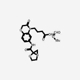 CC(C)(C)OC=O.COC(=O)CCCN1C(=O)COc2ccc(NC(=O)C34CN3CCO4)cc21